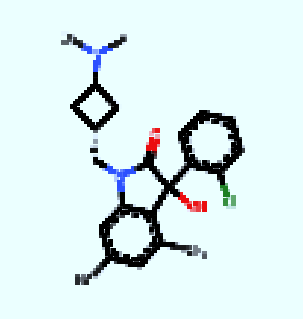 CCN(CC)[C@H]1C[C@H](CN2C(=O)C(O)(c3ccccc3Cl)c3c2cc(C#N)cc3C(F)(F)F)C1